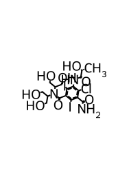 C[C@H](O)C(=O)Nc1c(Cl)c(C(N)=O)c(I)c(C(=O)N(C(CO)CO)C(CO)CO)c1I